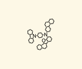 c1ccc2c(c1)ccc1cc(N(c3ccc(-n4c5ccccc5c5ccccc54)cc3)c3cccc4c3oc3c5ccccc5ccc43)ccc12